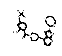 Nc1cc(OC(F)(F)F)ccc1C(=O)N1CCC(c2ccnc3[nH]c([C@@H]4CNCCCO4)nc23)CC1